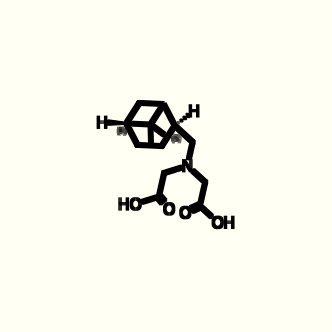 CC1(C)C2C[C@H]1CC[C@@H]2CN(CC(=O)O)CC(=O)O